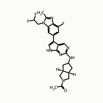 CC(=O)N1C[C@H]2CC(Nc3ncc4c(-c5cc(F)c6nc(C)n(CC(F)F)c6c5)c[nH]c4n3)C[C@H]2C1